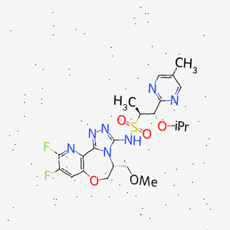 COC[C@@H]1COc2cc(F)c(F)nc2-c2nnc(NS(=O)(=O)[C@@H](C)[C@@H](OC(C)C)c3ncc(C)cn3)n21